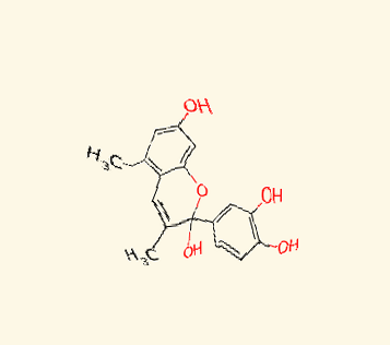 CC1=Cc2c(C)cc(O)cc2OC1(O)c1ccc(O)c(O)c1